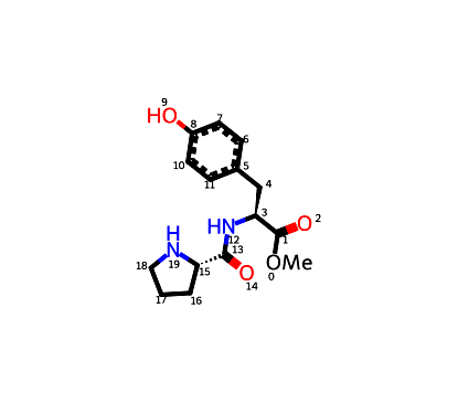 COC(=O)[C@H](Cc1ccc(O)cc1)NC(=O)[C@@H]1CCCN1